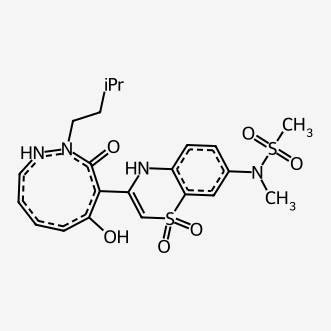 CC(C)CCn1[nH]ccccc(O)c(C2=CS(=O)(=O)c3cc(N(C)S(C)(=O)=O)ccc3N2)c1=O